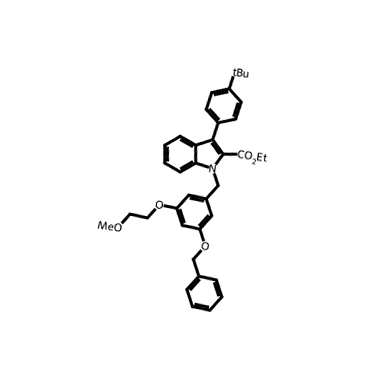 CCOC(=O)c1c(-c2ccc(C(C)(C)C)cc2)c2ccccc2n1Cc1cc(OCCOC)cc(OCc2ccccc2)c1